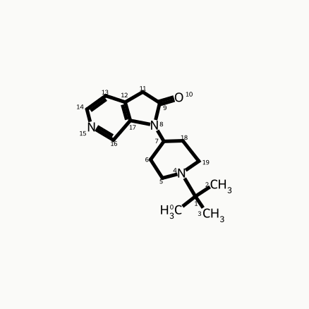 CC(C)(C)N1CCC(N2C(=O)Cc3ccncc32)CC1